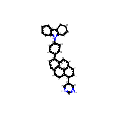 C1=Cc2c(c3ccccc3n2-c2ccc(-c3ccc4ccc5c(-c6cncnc6)ccc6ccc3c4c65)cc2)CC1